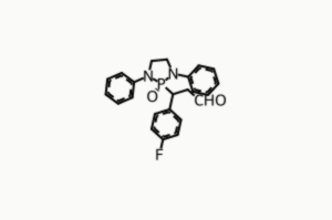 O=CCC(c1ccc(F)cc1)P1(=O)N(c2ccccc2)CCN1c1ccccc1